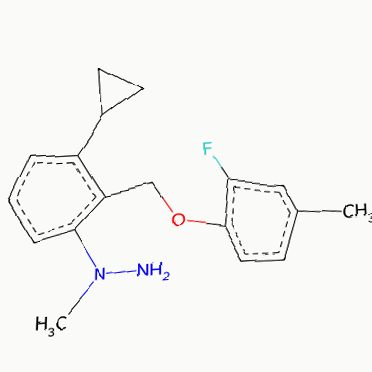 Cc1ccc(OCc2c(C3CC3)cccc2N(C)N)c(F)c1